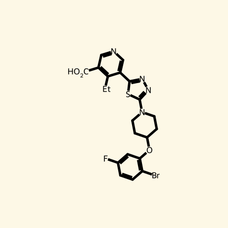 CCc1c(C(=O)O)cncc1-c1nnc(N2CCC(Oc3cc(F)ccc3Br)CC2)s1